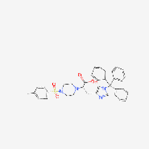 Cc1ccc(S(=O)(=O)N2CCN([C@@H](Cc3cn(C(c4ccccc4)(c4ccccc4)c4ccccc4)cn3)C(=O)O)CC2)cc1